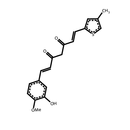 COc1ccc(C=CC(=O)CC(=O)C=Cc2cc(C)cs2)cc1O